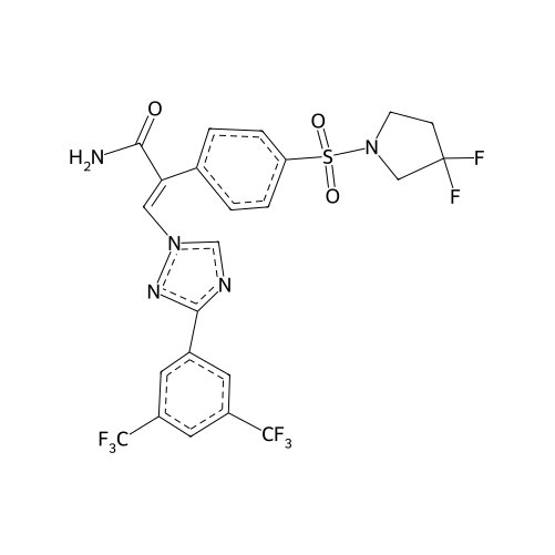 NC(=O)/C(=C/n1cnc(-c2cc(C(F)(F)F)cc(C(F)(F)F)c2)n1)c1ccc(S(=O)(=O)N2CCC(F)(F)C2)cc1